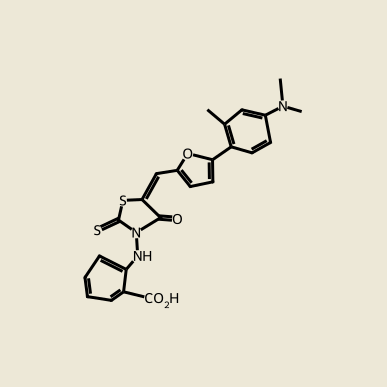 Cc1cc(N(C)C)ccc1-c1ccc(/C=C2/SC(=S)N(Nc3ccccc3C(=O)O)C2=O)o1